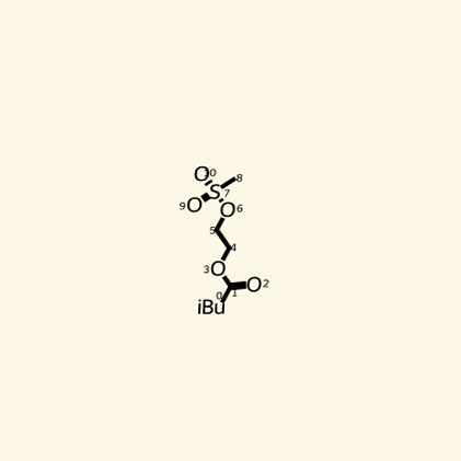 CCC(C)C(=O)OCCOS(C)(=O)=O